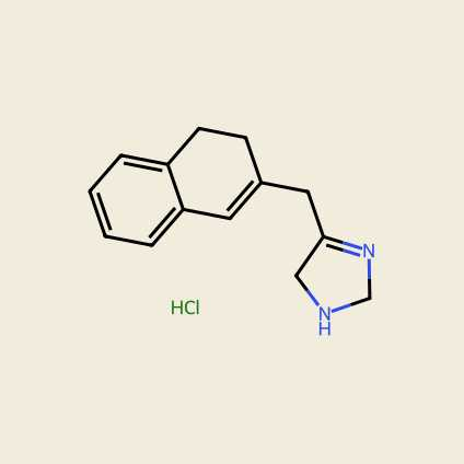 C1=C(CC2=NCNC2)CCc2ccccc21.Cl